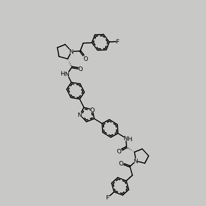 O=C(Nc1ccc(-c2cnc(-c3ccc(NC(=O)[C@@H]4CCCN4C(=O)Cc4ccc(F)cc4)cc3)o2)cc1)[C@@H]1CCCN1C(=O)Cc1ccc(F)cc1